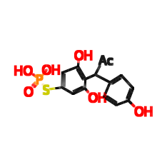 CC(=O)C(c1ccc(O)cc1)c1c(O)cc(SP(=O)(O)O)cc1O